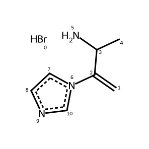 Br.C=C(C(C)N)n1ccnc1